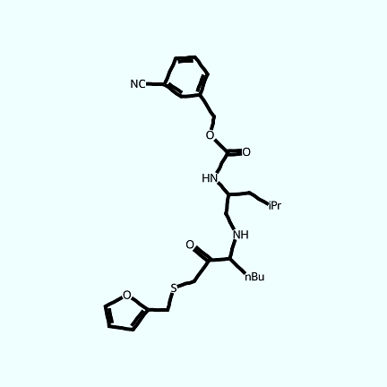 CCCCC(NCC(CC(C)C)NC(=O)OCc1cccc(C#N)c1)C(=O)CSCc1ccco1